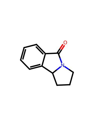 O=C1c2ccccc2C2CCCN12